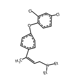 CCN(CC)C/C=C(/C)c1ccc(Oc2ccc(Cl)cc2Cl)cc1